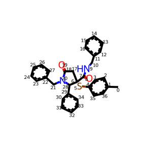 Cc1ccc(SC2(C(=O)NCc3ccccc3)CC(=O)N(Cc3ccccc3)C2c2ccccc2)cc1